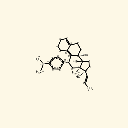 CC=C[C@]1(O)CC[C@H]2[C@@H]3CCC4=CCCCC4=C3[C@@H](c3ccc(N(C)C)cc3)C[C@@]21C